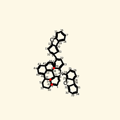 c1ccc(N(c2ccc(-c3ccc4oc5ccccc5c4c3)cc2)c2cccc3c2oc2ccccc23)c(-c2cccc3cccc(C4CCCCC4)c23)c1